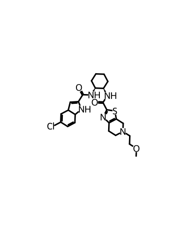 COCCN1CCc2nc(C(=O)N[C@@H]3CCCC[C@@H]3NC(=O)C3=CC4C=C(Cl)C=CC4N3)sc2C1